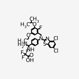 CCOc1cc(CN(c2ccc(C(=N)N)cc2)c2nc3c(Cl)cc(Cl)cc3s2)c(F)c(OC(C)C)c1.O=C(O)C(F)(F)F